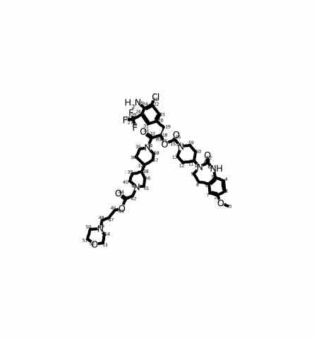 COc1ccc2c(c1)CCN(C1CCN(C(=O)O[C@H](Cc3cc(Cl)c(N)c(C(F)(F)F)c3)C(=O)N3CCC(C4CCN(CC(=O)OCCCN5CCOCC5)CC4)CC3)CC1)C(=O)N2